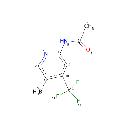 Bc1cnc(NC(C)=O)cc1C(F)(F)F